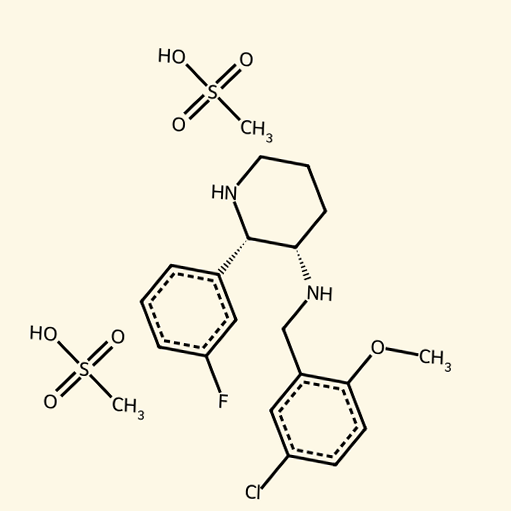 COc1ccc(Cl)cc1CN[C@H]1CCCN[C@H]1c1cccc(F)c1.CS(=O)(=O)O.CS(=O)(=O)O